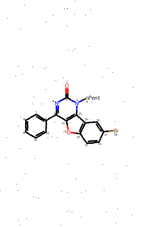 CCCCCn1c(=O)nc(-c2ccccc2)c2oc3ccc(Br)cc3c21